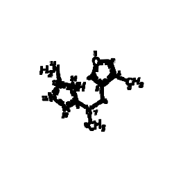 Cc1cocc1CN(C)c1nnc(N)[nH]1